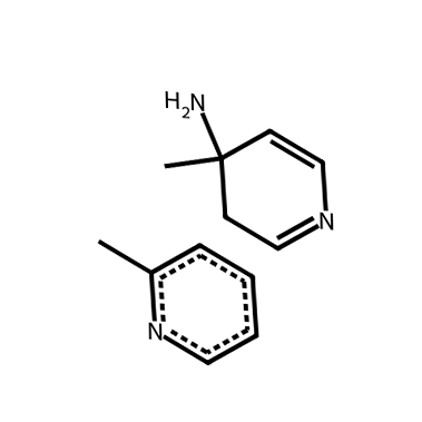 CC1(N)C=CN=CC1.Cc1ccccn1